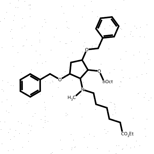 CCCCCCCCOC1C(OCc2ccccc2)CC(OCc2ccccc2)C1N(C)CCCCCC(=O)OCC